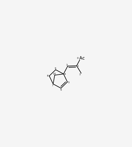 CC(=O)/C(C)=C/C12C=CC(CC1)C2